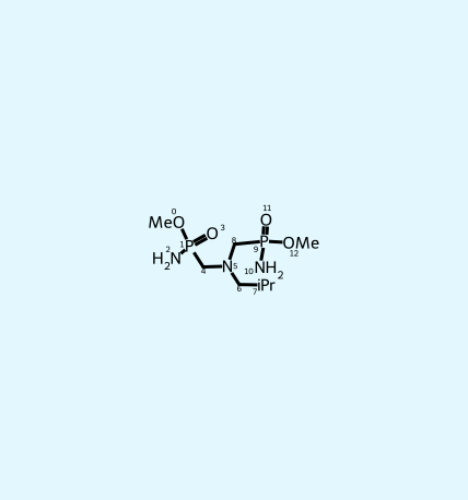 COP(N)(=O)CN(CC(C)C)CP(N)(=O)OC